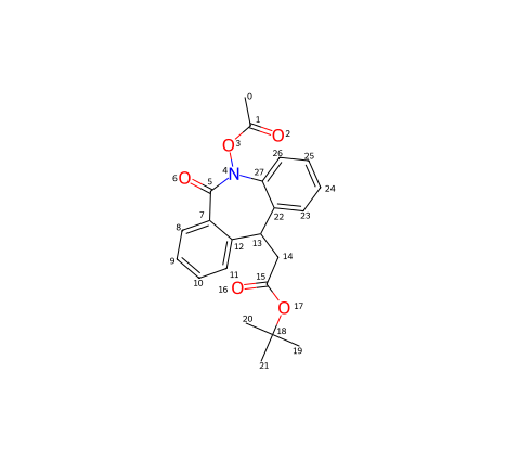 CC(=O)ON1C(=O)c2ccccc2C(CC(=O)OC(C)(C)C)c2ccccc21